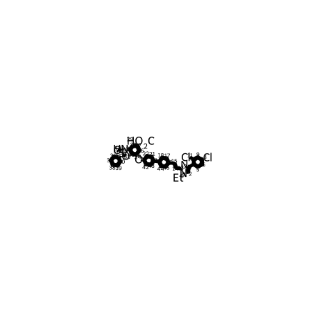 CCn1cc(-c2ccc(Cl)cc2Cl)nc1C=Cc1ccc(-c2ccc(Oc3ccc(C(=O)O)c(NS(=O)(=O)c4ccccc4)c3)cc2)cc1